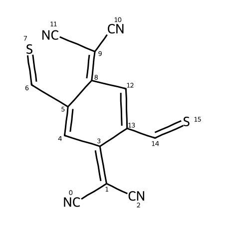 N#CC(C#N)=c1cc(C=S)c(=C(C#N)C#N)cc1C=S